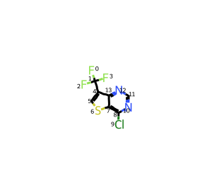 FC(F)(F)c1csc2c(Cl)ncnc12